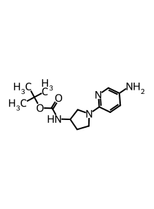 CC(C)(C)OC(=O)NC1CCN(c2ccc(N)cn2)C1